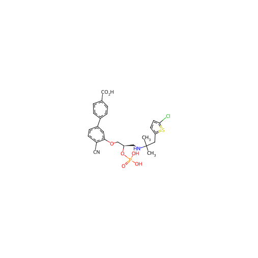 CC(C)(Cc1ccc(Cl)s1)NC[C@H](COc1cc(-c2ccc(C(=O)O)cc2)ccc1C#N)OP(=O)(O)O